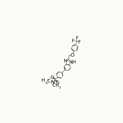 CN(C)S(=O)(=O)c1ccc(-c2ccc3[nH]c(COc4ccc(C(F)(F)F)cc4)nc3c2)cc1